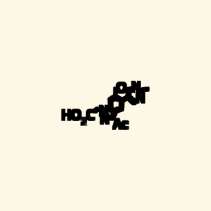 CC(=O)c1nn(CC(=O)O)c2cc3c(cc12)-c1cnc(C)nc1OC3